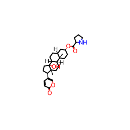 C[C@]12CC[C@H](OC(=O)C3CCCN3)C[C@H]1CC[C@@H]1[C@@H]2CC[C@]2(C)[C@@H](c3ccc(=O)oc3)CC[C@]12O